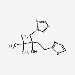 CC(C)(C)C(O)(CCc1cccs1)Cn1cncn1